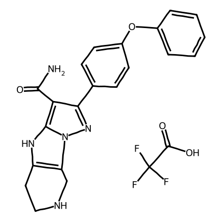 NC(=O)c1c(-c2ccc(Oc3ccccc3)cc2)nn2c3c([nH]c12)CCNC3.O=C(O)C(F)(F)F